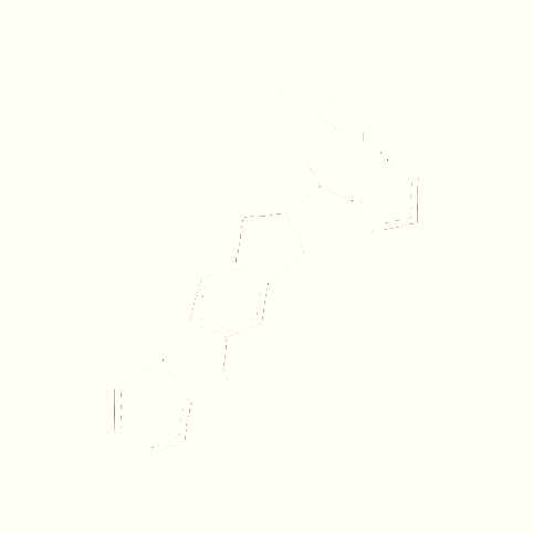 CC(C)(C)[Si](C)(C)OC(c1ncco1)C1Cc2ccc(Oc3ccccc3)cc2C1